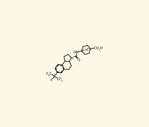 O=C(NC12CCC(C(=O)O)(CC1)CC2)[C@@H]1CCC2c3ccc(C(F)(C(F)(F)F)C(F)(F)F)cc3CCC21